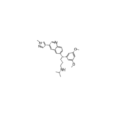 COc1cc(OC)cc(C(CCCNC(C)C)c2ccc3ncc(-c4cnn(C)c4)cc3c2)c1